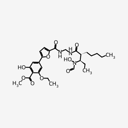 CCCCC[C@@H](C(=O)NCNC(=O)c1ccc(-c2cc(O)c(C(=O)OC)c(OCC)c2)o1)[C@@H](CC)N(O)C=O